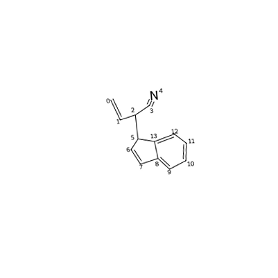 C=CC(C#N)C1C=Cc2ccccc21